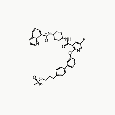 CS(=O)(=O)OCCCc1ccc(-c2cccc(Oc3ncc(F)cc3C(=O)N[C@H]3CC[C@H](NC(=O)c4cccc5cccnc45)CC3)c2)cc1